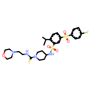 CC(C)c1ccc(S(=O)(=O)c2ccc(F)cc2)cc1S(=O)(=O)NC1CCN(C(=S)NCCN2CCOCC2)CC1